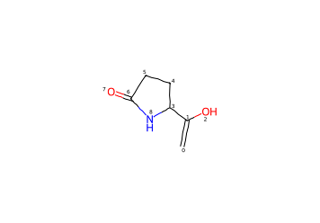 C=C(O)C1CCC(=O)N1